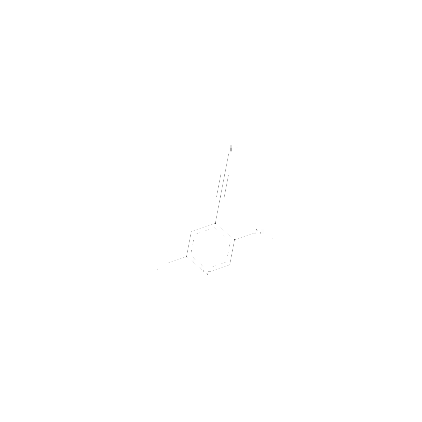 Cc1cc(C#CC(C)C)c(N)cn1